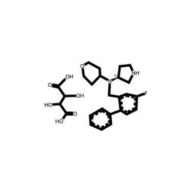 Fc1ccc(-c2ccccc2)c(CN(C2CCOCC2)[C@H]2CCNC2)c1.O=C(O)C(O)C(O)C(=O)O